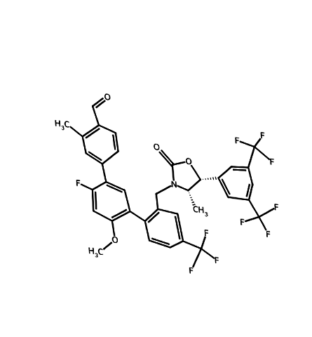 COc1cc(F)c(-c2ccc(C=O)c(C)c2)cc1-c1ccc(C(F)(F)F)cc1CN1C(=O)O[C@H](c2cc(C(F)(F)F)cc(C(F)(F)F)c2)[C@@H]1C